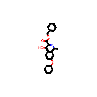 Cc1nc(C(=O)OCc2ccccc2)c(O)c2ccc(Oc3ccccc3)cc12